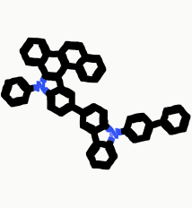 c1ccc(-c2ccc(-n3c4ccccc4c4cc(-c5ccc6c(c5)c5c7c8ccccc8ccc7c7ccccc7c5n6-c5ccccc5)ccc43)cc2)cc1